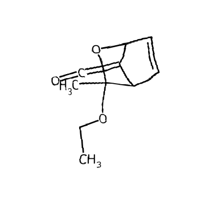 CCOC1(C)OC2C=CC1C2=C=O